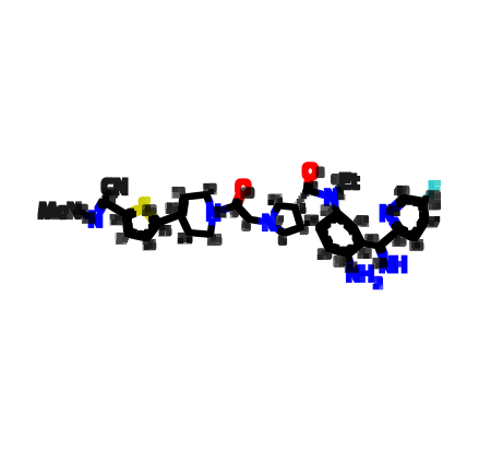 CCN(C(=O)[C@@H]1CCN(CC(=O)N2CC=C(c3ccc(/C(C#N)=N/NC)s3)CC2)C1)c1ccc(N)c(C(=N)c2ccc(F)cn2)c1